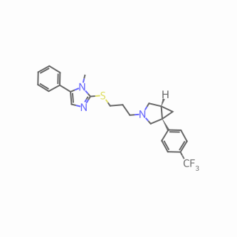 Cn1c(-c2ccccc2)cnc1SCCCN1C[C@@H]2C[C@]2(c2ccc(C(F)(F)F)cc2)C1